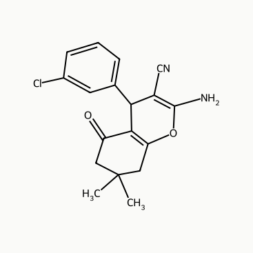 CC1(C)CC(=O)C2=C(C1)OC(N)=C(C#N)C2c1cccc(Cl)c1